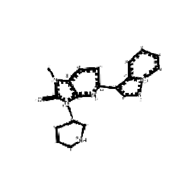 Cn1c(=O)n([C@@H]2CCCNC2)c2nc(-c3cnn4ccccc34)ccc21